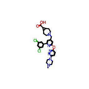 CN1CCN(c2ccc(Oc3cc(CN4CCC5C(CC4)C5C(=O)O)cc(-c4cc(Cl)cc(Cl)c4)n3)nn2)CC1